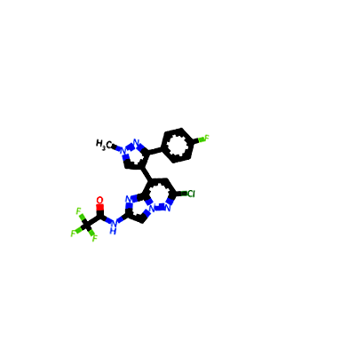 Cn1cc(-c2cc(Cl)nn3cc(NC(=O)C(F)(F)F)nc23)c(-c2ccc(F)cc2)n1